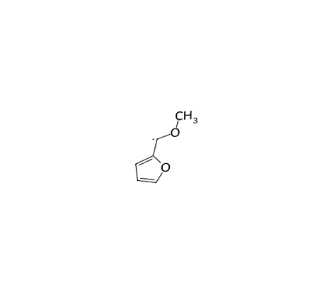 CO[CH]c1ccco1